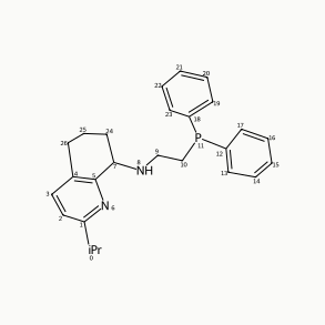 CC(C)c1ccc2c(n1)C(NCCP(c1ccccc1)c1ccccc1)CCC2